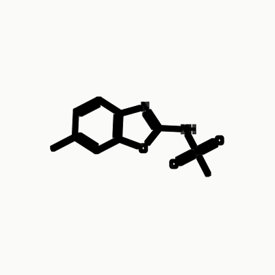 Cc1ccc2nc(NS(C)(=O)=O)oc2c1